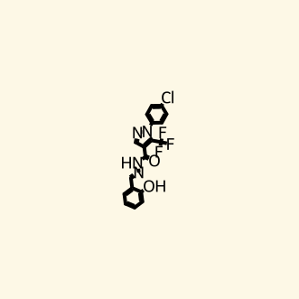 O=C(N/N=C/c1ccccc1O)c1cnn(-c2ccc(Cl)cc2)c1C(F)(F)F